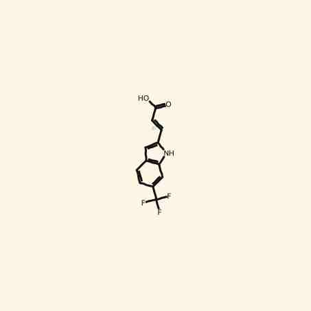 O=C(O)/C=C/c1cc2ccc(C(F)(F)F)cc2[nH]1